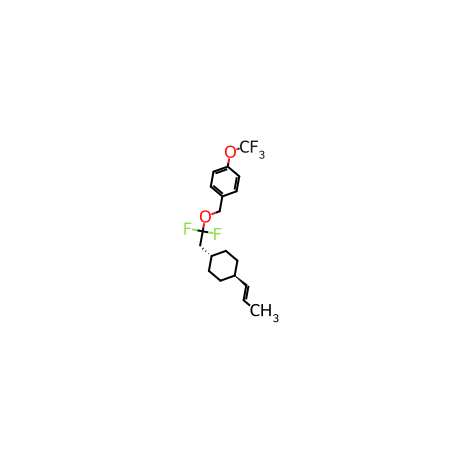 C/C=C/[C@H]1CC[C@H](CC(F)(F)OCc2ccc(OC(F)(F)F)cc2)CC1